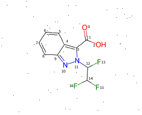 O=C(O)c1c2ccccc2nn1C(F)C(F)F